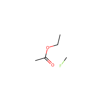 CCOC(C)=O.CF